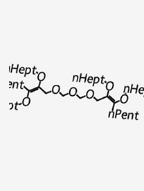 CCCCCCCOC(CCCCC)=C(COCOCOCC(OCCCCCCC)=C(CCCCC)OCCCCCCC)OCCCCCCC